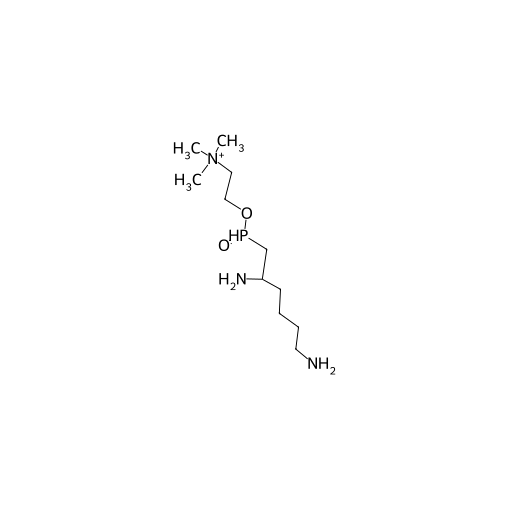 C[N+](C)(C)CCO[PH](=O)CC(N)CCCCN